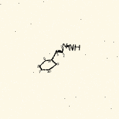 N=NC=CC1CCCCC1